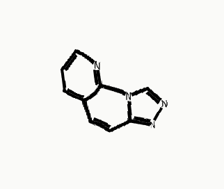 c1cnc2c(c1)ccc1nncn12